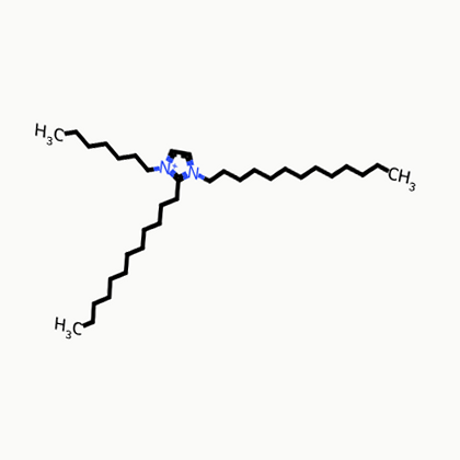 CCCCCCCCCCCCCn1cc[n+](CCCCCCC)c1CCCCCCCCCCCC